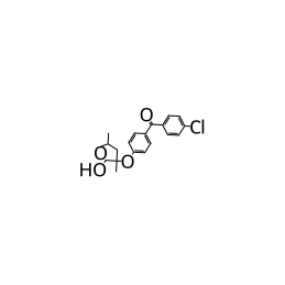 CC(C)CC(C)(Oc1ccc(C(=O)c2ccc(Cl)cc2)cc1)C(=O)O